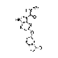 CCCNC(=O)c1c[nH]c2ncc(Oc3ccc4c(c3)C(=O)CC4)nc12